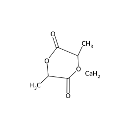 CC1OC(=O)C(C)OC1=O.[CaH2]